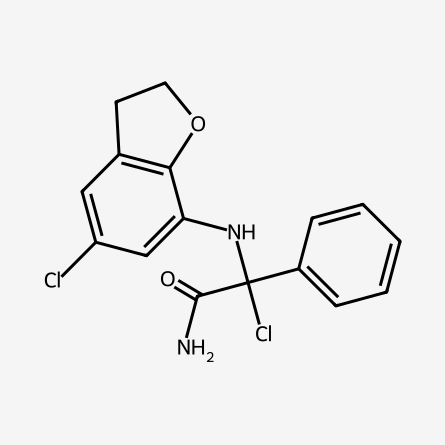 NC(=O)C(Cl)(Nc1cc(Cl)cc2c1OCC2)c1ccccc1